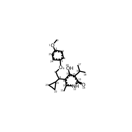 COc1ccc(OCC(c2c(C)[nH]c(=O)c(C(C)C)c2O)C2CC2)cc1